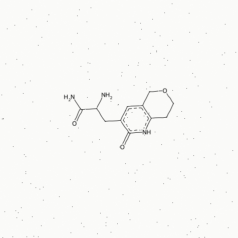 NC(=O)C(N)Cc1cc2c([nH]c1=O)CCOC2